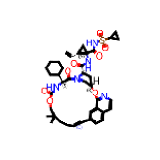 C=C[C@@H]1C[C@]1(NC(=O)[C@@H]1C[C@@H]2CN1C(=O)[C@H](C1CCCCC1)NC(=O)OCC(C)(C)CC/C=C/c1ccc3ccnc(c3c1)O2)C(=O)NS(=O)(=O)C1CC1